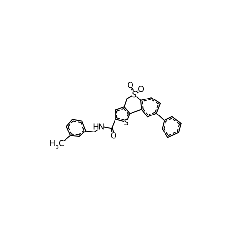 Cc1cccc(CNC(=O)c2cc3c(s2)-c2cc(-c4ccccc4)ccc2S(=O)(=O)C3)c1